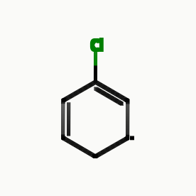 ClC1=C[CH]CC=C1